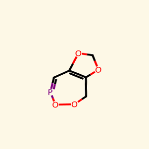 C1=POOCC2=C1OCO2